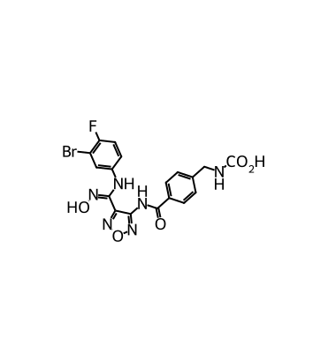 O=C(O)NCc1ccc(C(=O)Nc2nonc2/C(=N\O)Nc2ccc(F)c(Br)c2)cc1